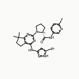 CC(C)c1cc(Nc2nc(N3CCC[C@@H]3C(=O)Nc3ccc(F)nc3)nc3c2CCC3(C)C)n[nH]1